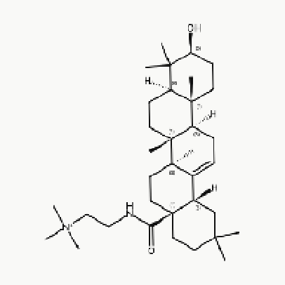 CC1(C)CC[C@]2(C(=O)NCC[N+](C)(C)C)CC[C@]3(C)C(=CC[C@@H]4[C@@]5(C)CC[C@H](O)C(C)(C)[C@@H]5CC[C@]43C)[C@@H]2C1